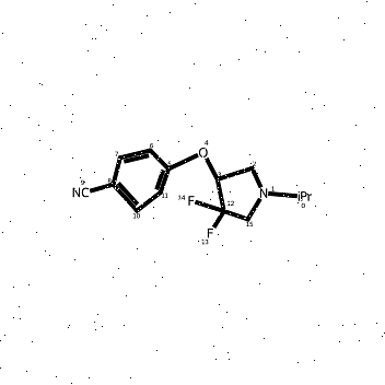 CC(C)N1CC(Oc2ccc(C#N)cc2)C(F)(F)C1